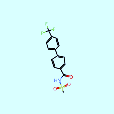 CS(=O)(=O)NC(=O)c1ccc(-c2ccc(C(F)(F)F)cc2)cc1